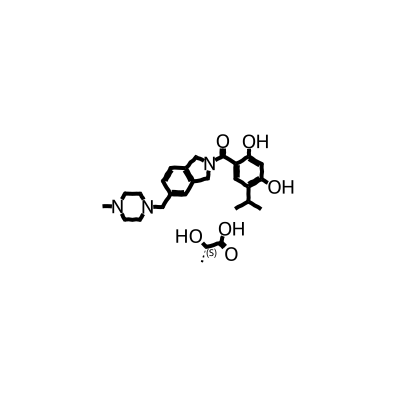 CC(C)c1cc(C(=O)N2Cc3ccc(CN4CCN(C)CC4)cc3C2)c(O)cc1O.C[C@H](O)C(=O)O